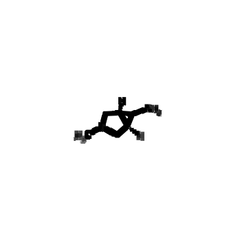 CN1C[C@@H]2C(N)[C@@H]2C1